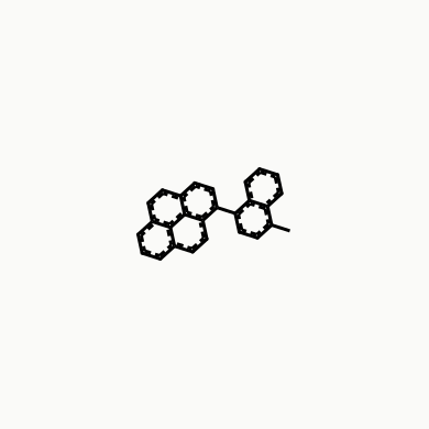 Cc1ccc(-c2ccc3ccc4cccc5ccc2c3c45)c2ccccc12